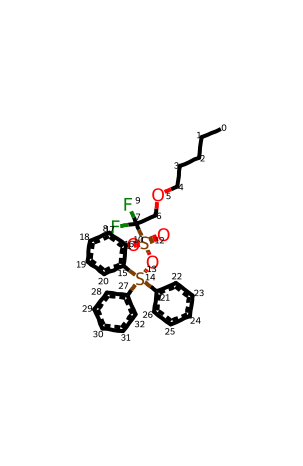 CCCCCOCC(F)(F)S(=O)(=O)OS(c1ccccc1)(c1ccccc1)c1ccccc1